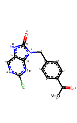 COC(=O)c1ccc(Cn2c(=O)[nH]c3cnc(Cl)nc32)cc1